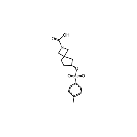 Cc1ccc(S(=O)(=O)O[C@H]2CCC3(C2)CN(C(=O)O)C3)cc1